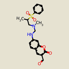 CC(CN(C)CNc1ccc2cc(C=O)c(=O)oc2c1)S(=O)(=O)c1ccccc1